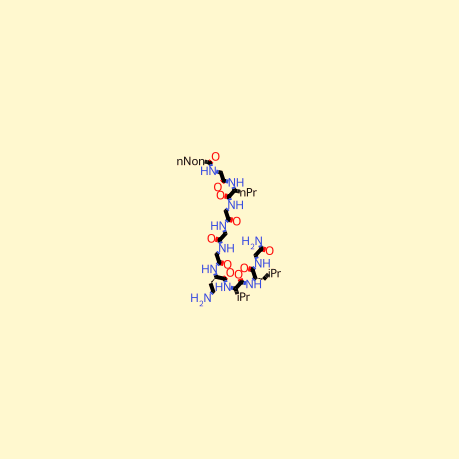 CCCCCCCCCC(=O)NCC(=O)NC(CCC)C(=O)NCC(=O)NCC(=O)NCC(=O)N[C@@H](CCN)C(=O)NC(C(=O)N[C@@H](CC(C)C)C(=O)NCC(N)=O)C(C)C